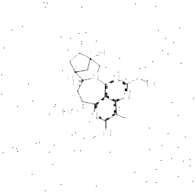 CCSc1nc2c3c(nc(Cl)c(F)c3n1)[C@H](O)C[C@@H]1[C@@H]3CC[C@@H](C3)CN21